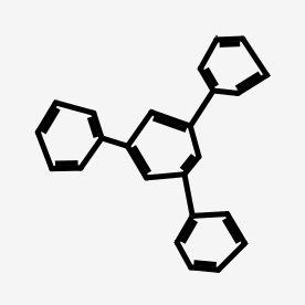 [c]1cccc(-c2cc(-c3ccccc3)cc(-c3ccccc3)c2)c1